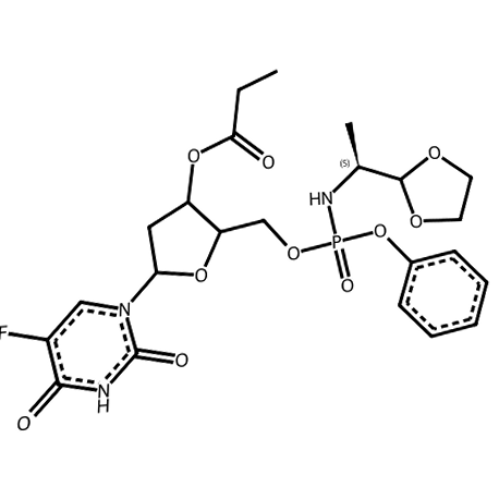 CCC(=O)OC1CC(n2cc(F)c(=O)[nH]c2=O)OC1COP(=O)(N[C@@H](C)C1OCCO1)Oc1ccccc1